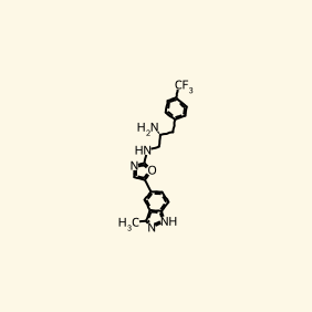 Cc1n[nH]c2ccc(-c3cnc(NC[C@H](N)Cc4ccc(C(F)(F)F)cc4)o3)cc12